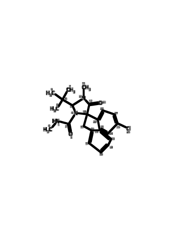 CNC(=O)N1C(C(C)(C)C)N(C)C(=O)C1(Cc1ccccc1)c1ccc(Cl)cc1